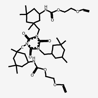 C=COCCOC(=O)NC1CC(C)(C)CC(C)(Cn2c(=O)n(CC3CC(C)CC(C)(C)C3)c(=O)n(CC3(C)CC(NC(=O)OCCOC=C)CC(C)(C)C3)c2=O)C1